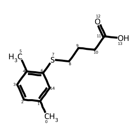 Cc1ccc(C)c(SCCCC(=O)O)c1